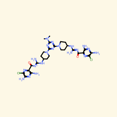 CN(C)c1nc(N2CCC(N/C(N)=N/C(=O)c3nc(Cl)c(N)nc3N)CC2)nc(N2CCC(N/C(N)=N/C(=O)c3nc(Cl)c(N)nc3N)CC2)n1